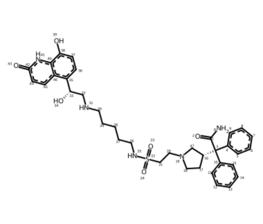 NC(=O)C(c1ccccc1)(c1ccccc1)[C@@H]1CCN(CCS(=O)(=O)NCCCCCNC[C@H](O)c2ccc(O)c3[nH]c(=O)ccc23)C1